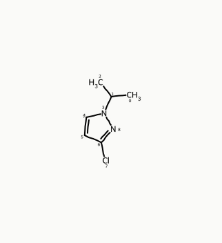 CC(C)n1[c]cc(Cl)n1